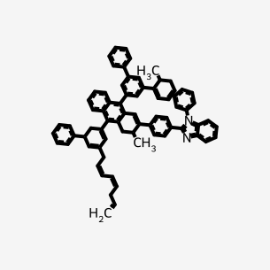 C=CC/C=C\C=C/CC1=CC(c2ccccc2)CC(c2c3c(c(-c4cc(C5=CC=CCC5C)cc(-c5ccccc5)c4)c4ccccc24)C=C(c2ccc(-c4nc5ccccc5n4-c4ccccc4)cc2)C(C)C3)=C1